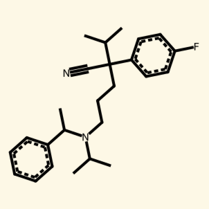 CC(C)N(CCCC(C#N)(c1ccc(F)cc1)C(C)C)C(C)c1ccccc1